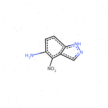 Nc1ccc2[nH]ncc2c1[N+](=O)[O-]